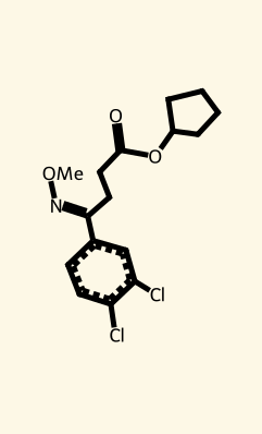 CON=C(CCC(=O)OC1CCCC1)c1ccc(Cl)c(Cl)c1